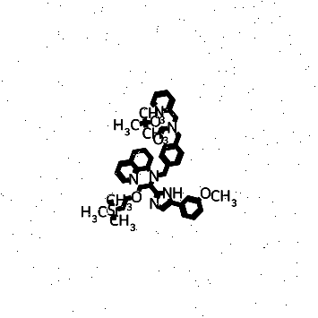 COc1cccc(-c2cnc(C(COCC[Si](C)(C)C)N(Cc3ccc(CN(Cc4ccccn4)C(=O)OC(C)(C)C)cc3)C3CCCc4cccnc43)[nH]2)c1